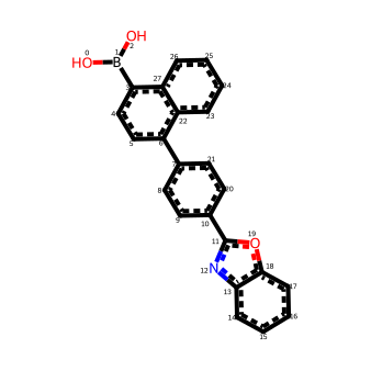 OB(O)c1ccc(-c2ccc(-c3nc4ccccc4o3)cc2)c2ccccc12